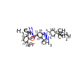 Cc1nn(Cc2ccc(C(C)(C)C(=O)O)cc2)c2ccc(C(=O)N[C@@H](C)c3cccc(C(C)C)c3)cc12